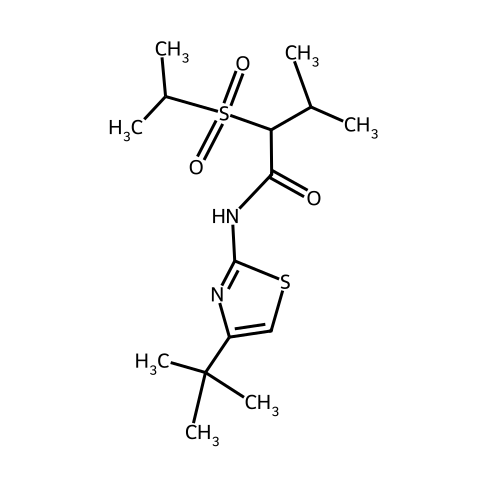 CC(C)C(C(=O)Nc1nc(C(C)(C)C)cs1)S(=O)(=O)C(C)C